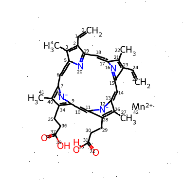 C=CC1=C(C)c2cc3[n-]c(cc4[n-]c(cc5nc(cc1n2)C(C)=C5C=C)c(C)c4CCC(=O)O)c(CCC(=O)O)c3C.[Mn+2]